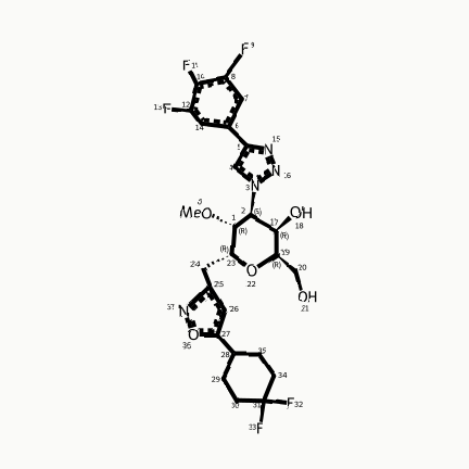 CO[C@@H]1[C@@H](n2cc(-c3cc(F)c(F)c(F)c3)nn2)[C@@H](O)[C@@H](CO)O[C@@H]1Cc1cc(C2CCC(F)(F)CC2)on1